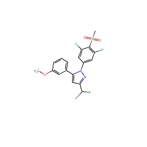 CS(=O)(=O)c1c(F)cc(-n2nc(C(F)F)cc2-c2cccc(OC(F)(F)F)c2)cc1F